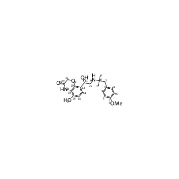 COc1ccc(CC(C)(C)NCC(O)c2ccc(O)c3c2OCC(=O)N3)cc1